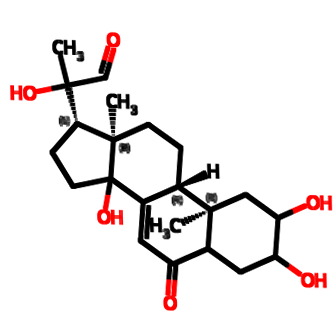 CC(O)(C=O)[C@H]1CCC2(O)C3=CC(=O)C4CC(O)C(O)C[C@]4(C)[C@H]3CC[C@]12C